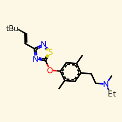 CCN(C)CCc1cc(C)c(Oc2nc(/C=C/C(C)(C)C)ns2)cc1C